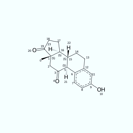 C[C@]12CC(=O)[C@@H]3c4ccc(O)cc4CC[C@H]3[C@@H]1CCC2=O